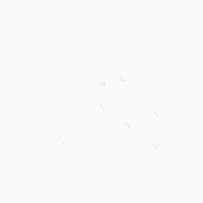 COc1cc(F)c(Cn2nnc3c(-c4ccco4)nc(N)nc32)c(F)c1